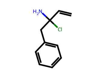 C=CC(N)(Cl)Cc1ccccc1